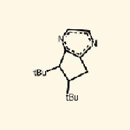 CC(C)(C)C1Cc2nccnc2C1C(C)(C)C